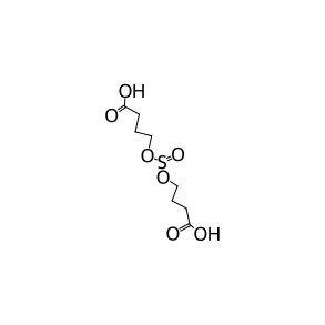 O=C(O)CCCOS(=O)OCCCC(=O)O